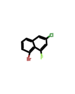 Fc1cc(Cl)cc2cccc(Br)c12